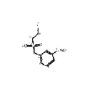 O=[C]c1cccc(CS(=O)(=O)CCCl)c1